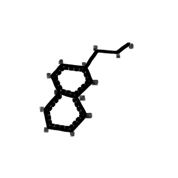 CCCc1ccc2[c]cccc2c1